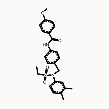 CCS(=O)(=O)N(Cc1ccc(NC(=O)c2ccc(OC)cc2)cc1)c1ccc(C)c(C)c1